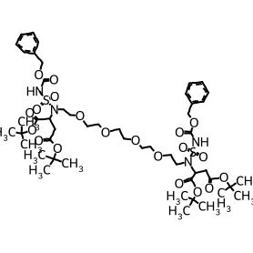 CC(C)(C)OC(=O)CC(C(=O)OC(C)(C)C)N(CCOCCOCCOCCOCCN(C(CC(=O)OC(C)(C)C)C(=O)OC(C)(C)C)S(=O)(=O)NC(=O)OCc1ccccc1)S(=O)(=O)NC(=O)OCc1ccccc1